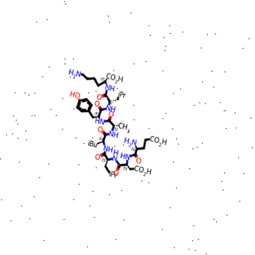 CCC(C)[C@H](NC(=O)[C@H](CC(C)C)NC(=O)[C@H](CC(=O)O)NC(=O)[C@@H](N)CCC(=O)O)C(=O)N[C@@H](C)C(=O)N[C@@H](Cc1ccc(O)cc1)C(=O)N[C@@H](CC(C)C)C(=O)N[C@@H](CCCCN)C(=O)O